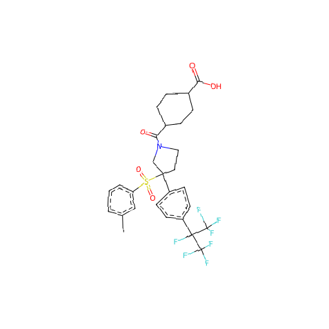 Cc1cccc(S(=O)(=O)C2(c3ccc(C(F)(C(F)(F)F)C(F)(F)F)cc3)CCN(C(=O)C3CCC(C(=O)O)CC3)C2)c1